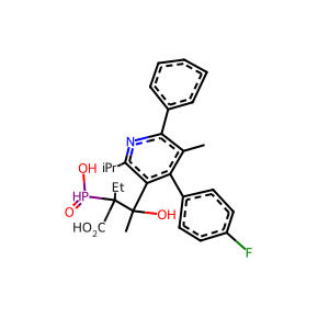 CCC(C(=O)O)([PH](=O)O)C(C)(O)c1c(C(C)C)nc(-c2ccccc2)c(C)c1-c1ccc(F)cc1